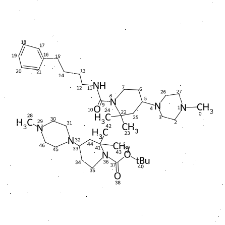 CN1CCN(C2CCN(C(=O)NCCCCc3ccccc3)C(C)(C)C2)CC1.CN1CCN(C2CCN(C(=O)OC(C)(C)C)C(C)(C)C2)CC1